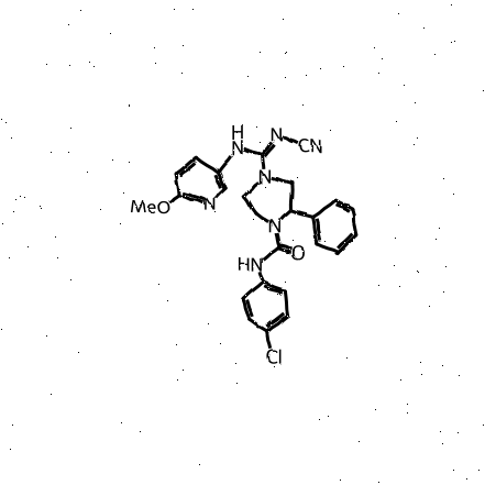 COc1ccc(N/C(=N/C#N)N2CCN(C(=O)Nc3ccc(Cl)cc3)C(c3ccccc3)C2)cn1